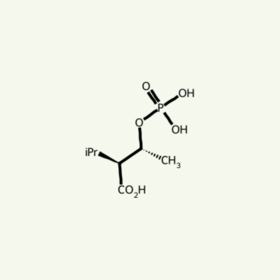 CC(C)[C@H](C(=O)O)[C@@H](C)OP(=O)(O)O